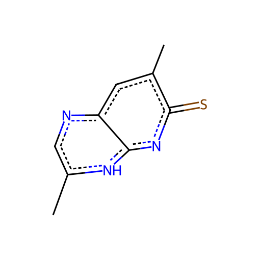 Cc1cnc2cc(C)c(=S)nc-2[nH]1